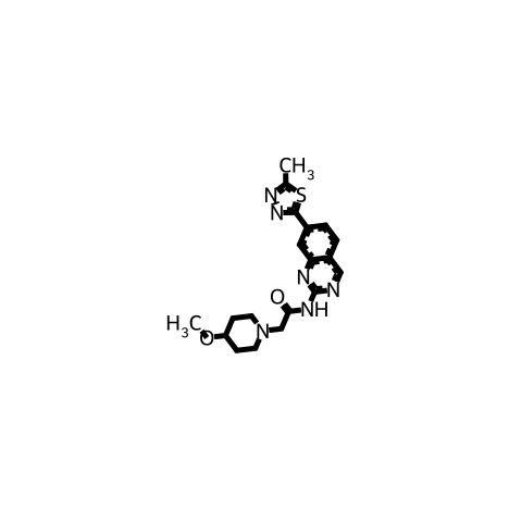 COC1CCN(CC(=O)Nc2ncc3ccc(-c4nnc(C)s4)cc3n2)CC1